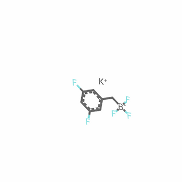 Fc1cc(F)cc(C[B-](F)(F)F)c1.[K+]